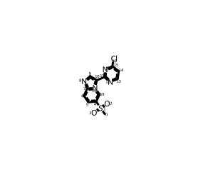 CS(=O)(=O)c1ccc2ncc(-c3nccc(Cl)n3)n2c1